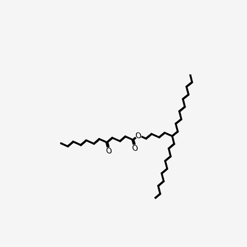 CCCCCCCCCCC(CCCCCCCCCC)CCCCOC(=O)CCCC(=O)CCCCCCC